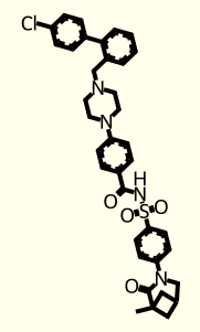 CC12CC(CN(c3ccc(S(=O)(=O)NC(=O)c4ccc(N5CCN(Cc6ccccc6-c6ccc(Cl)cc6)CC5)cc4)cc3)C1=O)C2